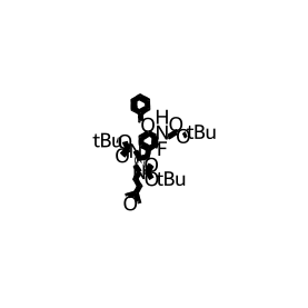 CC(C)(C)OC(=O)CNc1c(OCc2ccccc2)cc2c(c1F)C[C@H](CN(CCC1COC1)C(=O)OC(C)(C)C)N2C(=O)OC(C)(C)C